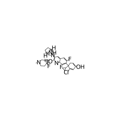 CN1CCC(F)(F)[C@](C)(COc2nc3c(F)c(C4(C5CC5)CC=C(O)C=C4Cl)c(F)cc3cc2N2C[C@H]3CC[C@@H](C2)N3)C1